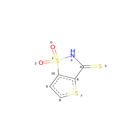 O=S1(=O)NC(=S)c2sccc21